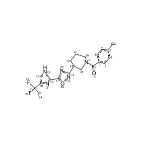 O=C(c1ccc(F)cc1)N1CCCC(c2noc(-c3nc(C(F)(F)F)c[nH]3)n2)C1